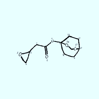 O=C(CC1CO1)OC12CCC(CC1)CO2